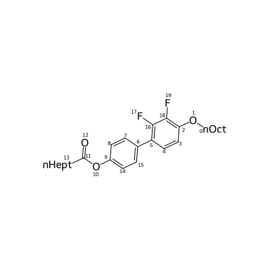 CCCCCCCCOc1ccc(-c2ccc(OC(=O)CCCCCCC)cc2)c(F)c1F